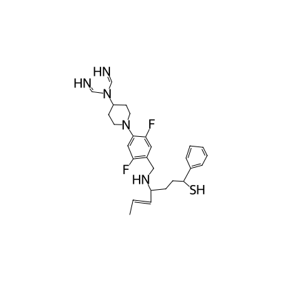 C/C=C/C(CCC(S)c1ccccc1)NCc1cc(F)c(N2CCC(N(C=N)C=N)CC2)cc1F